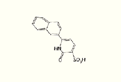 O=c1[nH]c(-c2ccc3ccccc3c2)ccc1S(=O)(=O)O